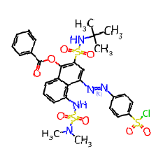 CN(C)S(=O)(=O)Nc1cccc2c(OC(=O)c3ccccc3)c(S(=O)(=O)NC(C)(C)C)cc(/N=N/c3ccc(S(=O)(=O)Cl)cc3)c12